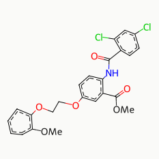 COC(=O)c1cc(OCCOc2ccccc2OC)ccc1NC(=O)c1ccc(Cl)cc1Cl